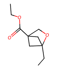 CCOC(=O)C12COC(CC)(C1)C2